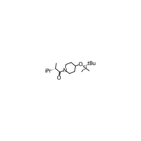 CC(C)[C@H](C)C(=O)N1CCC(O[Si](C)(C)C(C)(C)C)CC1